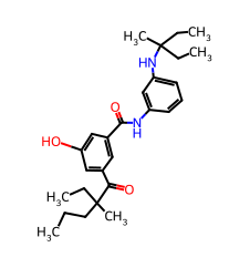 CCCC(C)(CC)C(=O)c1cc(O)cc(C(=O)Nc2cccc(NC(C)(CC)CC)c2)c1